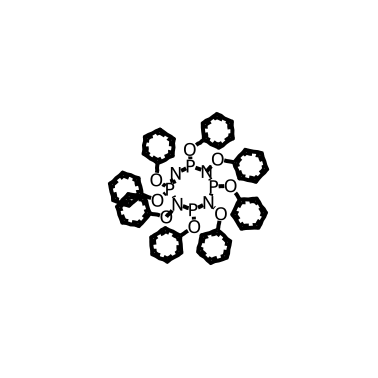 c1ccc(ON2P(Oc3ccccc3)N=P(Oc3ccccc3)(Oc3ccccc3)N(Oc3ccccc3)P(Oc3ccccc3)N(Oc3ccccc3)P2Oc2ccccc2)cc1